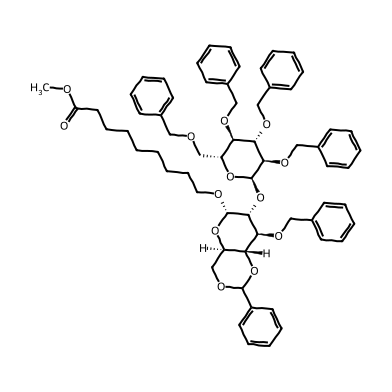 COC(=O)CCCCCCCCO[C@H]1O[C@@H]2COC(c3ccccc3)O[C@H]2[C@H](OCc2ccccc2)[C@H]1O[C@H]1O[C@H](COCc2ccccc2)[C@@H](OCc2ccccc2)[C@H](OCc2ccccc2)[C@H]1OCc1ccccc1